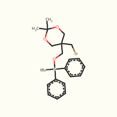 CC1(C)OCC(CBr)(CO[Si](c2ccccc2)(c2ccccc2)C(C)(C)C)CO1